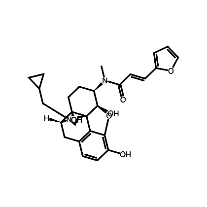 CN(C(=O)/C=C/c1ccco1)[C@@H]1CC[C@@]2(O)[C@H]3Cc4ccc(O)c5c4[C@@]2(CCN3CC2CC2)[C@@]1(O)O5